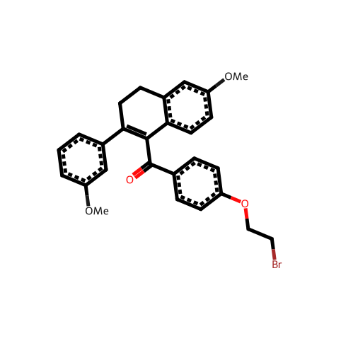 COc1cccc(C2=C(C(=O)c3ccc(OCCBr)cc3)c3ccc(OC)cc3CC2)c1